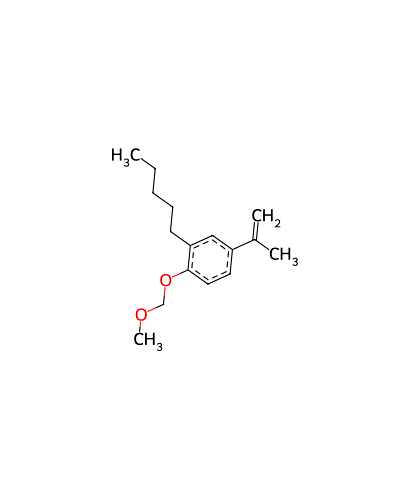 C=C(C)c1ccc(OCOC)c(CCCCC)c1